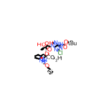 C#C[C@@]1(O)[C@@H](COC(Cc2ccccc2)(C(=O)O)c2nnn(COCC[Si](C)(C)C)n2)O[C@@H](n2cnc3c(NC(=O)OC(C)(C)C)nc(Cl)nc32)[C@@H]1O